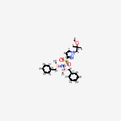 COC(C)(C)Cn1ccc(S(=O)(=O)N(B(C)Cc2ccccc2)B(C)Cc2ccccc2)n1